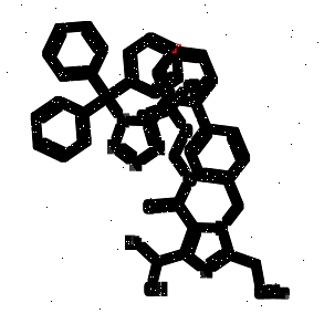 CCC(O)c1nc(COC)n(Cc2ccc(-c3ccccc3-c3nnnn3C(c3ccccc3)(c3ccccc3)c3ccccc3)cc2)c1C(=O)OCOC(=O)C(C)(C)C